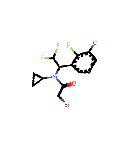 O=C(CBr)N(C1CC1)C(c1cccc(Cl)c1F)C(F)F